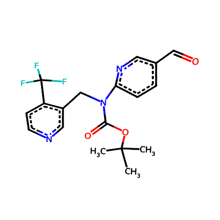 CC(C)(C)OC(=O)N(Cc1cnccc1C(F)(F)F)c1ccc(C=O)cn1